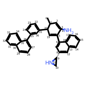 CC1C=C(N)C(c2cc([C@@H]3CN3)cc3ccccc23)=CC1c1cccc(-c2cccc3ccccc23)c1